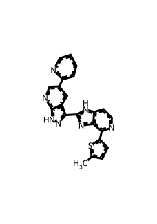 Cc1ccc(-c2nccc3[nH]c(-c4n[nH]c5ncc(-c6ccccn6)cc45)nc23)s1